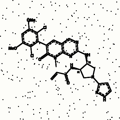 C=CC(=O)N[C@@H]1CN(c2cc[nH]n2)C[C@@H]1Nc1ncc2cc(-c3c(Cl)c(OC)cc(OC)c3Cl)c(=O)n(C)c2n1